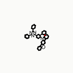 c1ccc(-c2nc(-c3ccccc3)nc(-c3ccc(-n4c5ccccc5c5cc6oc7ccccc7c6cc54)c(-c4ccccc4)c3)n2)cc1